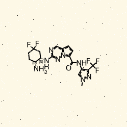 Cn1cc(NC(=O)c2ccc3cnc(N[C@H]4CC(F)(F)CC[C@H]4N)nn23)c(C(F)(F)F)n1